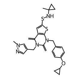 C=C1c2cc(SNC3(C)CC3)sc2N(Cc2ccc(OC3CC3)cc2)C(=C)N1Cc1cnn(C)c1